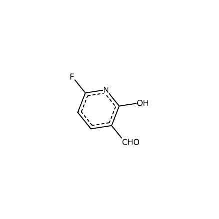 O=Cc1ccc(F)nc1O